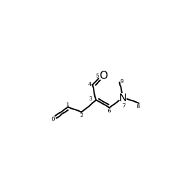 C=CCC(C=O)=CN(C)C